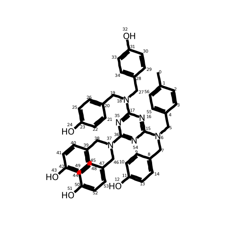 Cc1ccc(CN(Cc2ccc(O)cc2)c2nc(N(Cc3ccc(O)cc3)Cc3ccc(O)cc3)nc(N(Cc3ccc(O)cc3)Cc3ccc(O)cc3)n2)cc1